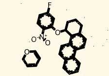 C1=CCOC=C1.O=[N+]([O-])c1ccc(F)cc1OC1CCCc2ccc3c(ccc4ccccc43)c21